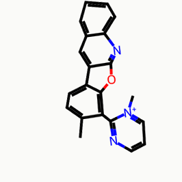 Cc1ccc2c(oc3nc4ccccc4cc32)c1-c1nccc[n+]1C